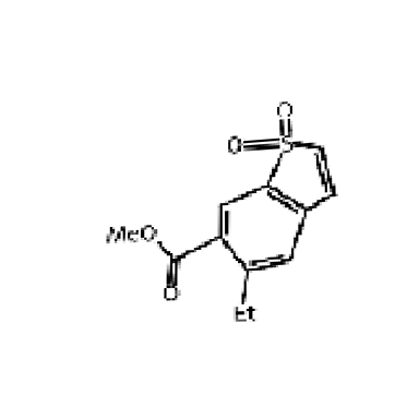 CCc1cc2c(cc1C(=O)OC)S(=O)(=O)C=C2